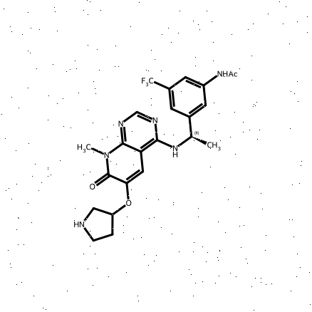 CC(=O)Nc1cc([C@@H](C)Nc2ncnc3c2cc(OC2CCNC2)c(=O)n3C)cc(C(F)(F)F)c1